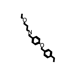 CCOCCCN=Cc1ccc(OCc2ccc(CC)cc2)cc1